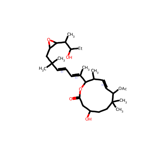 CCC(O)C(C)C1OC1CC(C)(C)/C=C/C=C(\C)C1OC(=O)CC(O)CCC(C)(C)C(OC(C)=O)/C=C/C1C